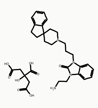 NCCn1c(=O)n(CCCN2CCC3(CCc4ccccc43)CC2)c2ccccc21.O=C(O)CC(O)(CC(=O)O)C(=O)O